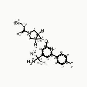 CC(C)(C)OC(=O)N1C[C@@H]2[C@H](C1)[C@@H]2Oc1cc(C(C)(N)C#N)cc(-c2ccc(F)cc2)n1